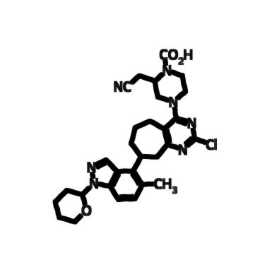 Cc1ccc2c(cnn2C2CCCCO2)c1C1CCCc2c(nc(Cl)nc2N2CCN(C(=O)O)C(CC#N)C2)C1